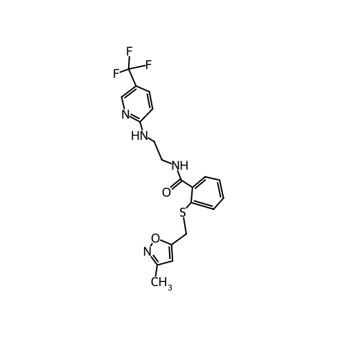 Cc1cc(CSc2ccccc2C(=O)NCCNc2ccc(C(F)(F)F)cn2)on1